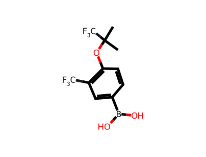 CC(C)(Oc1ccc(B(O)O)cc1C(F)(F)F)C(F)(F)F